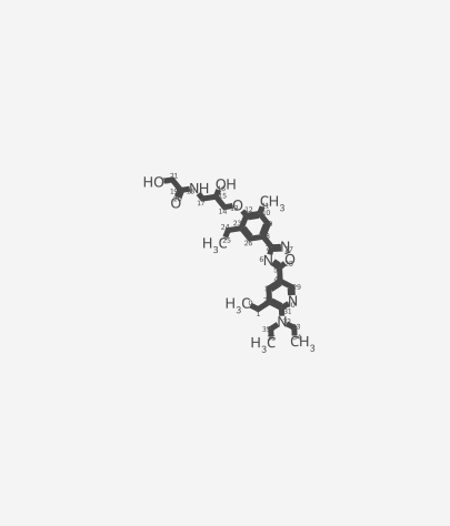 CCc1cc(-c2nc(-c3cc(C)c(OCC(O)CNC(=O)CO)c(CC)c3)no2)cnc1N(CC)CC